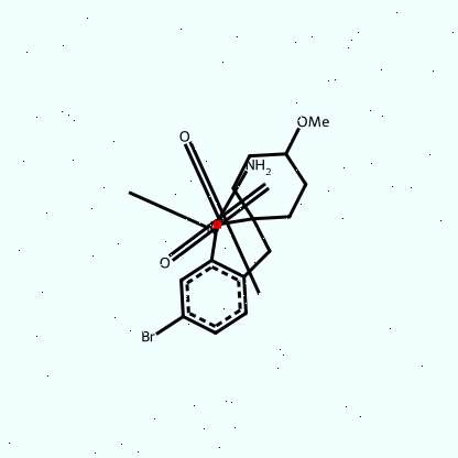 COC1CCC2(CC1)Cc1ccc(Br)cc1C21C(=O)N(C)C(=O)N1N